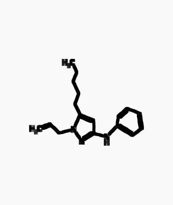 C=CCn1nc(Nc2ccccc2)cc1CCCCC